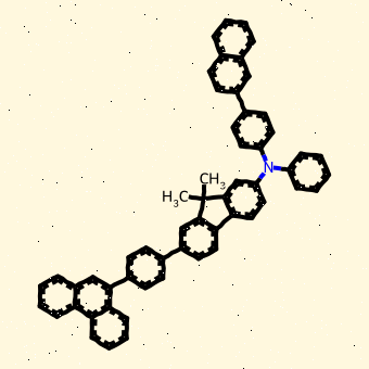 CC1(C)c2cc(-c3ccc(-c4cc5ccccc5c5ccccc45)cc3)ccc2-c2ccc(N(c3ccccc3)c3ccc(-c4ccc5ccccc5c4)cc3)cc21